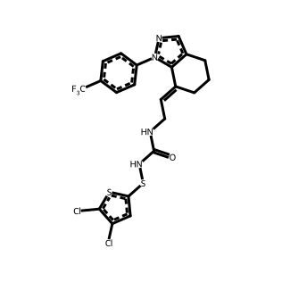 O=C(NC/C=C1\CCCc2cnn(-c3ccc(C(F)(F)F)cc3)c21)NSc1cc(Cl)c(Cl)s1